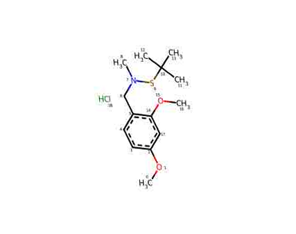 COc1ccc(CN(C)SC(C)(C)C)c(OC)c1.Cl